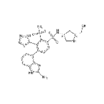 Nc1nc2c(-c3ccc(S(=O)(=O)N[C@H]4CN[C@@H](CO)C4)c(S(N)(=O)=O)c3-c3nnn[nH]3)cccc2[nH]1